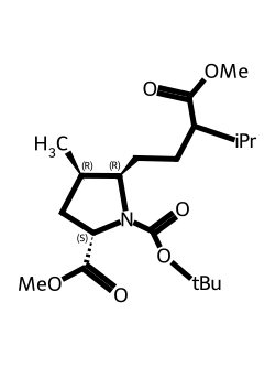 COC(=O)C(CC[C@@H]1[C@H](C)C[C@@H](C(=O)OC)N1C(=O)OC(C)(C)C)C(C)C